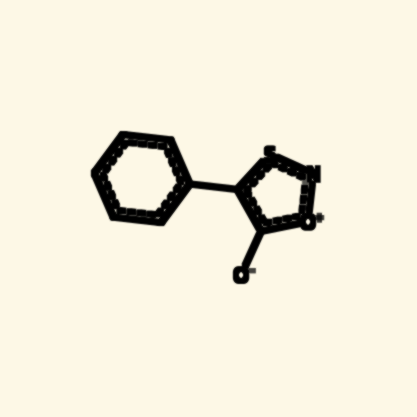 [O-]c1[o+]nsc1-c1ccccc1